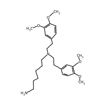 COc1ccc(CCN(CCCCCCN)CCc2ccc(OC)c(OC)c2)cc1OC